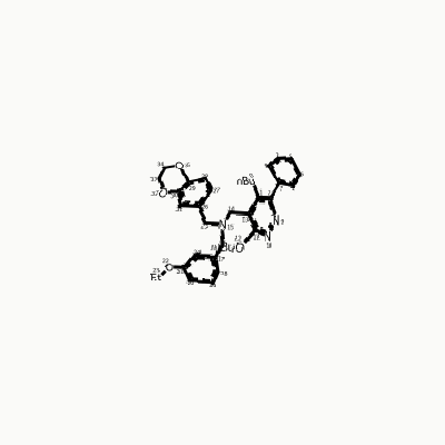 CCCCc1c(-c2ccccc2)nnc(OCC(C)C)c1CN(Cc1cccc(OCC)c1)Cc1ccc2c(c1)OCCO2